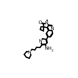 CN1C(=O)C2(CCC2)c2c1cnc1ccc(-c3cnc(CCCCN4CCCCC4)c(N)c3)cc21